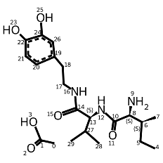 CC(=O)O.CC[C@H](C)[C@H](N)C(=O)N[C@H](C(=O)NCCc1ccc(O)c(O)c1)C(C)C